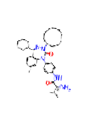 Cc1ccc2c(c1)N(c1ccc(NC(=O)[C@@H](N)C(C)C)cc1)C(=O)N(C1CCCCCCCCC1)N=C2C1CCCCC1